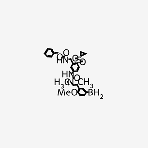 Bc1ccc(OC)c([C@H](C)CN(C)C(=O)Nc2ccc(S(=O)(=O)C3CC3)c(CNC(=O)OCc3ccccc3)c2)c1